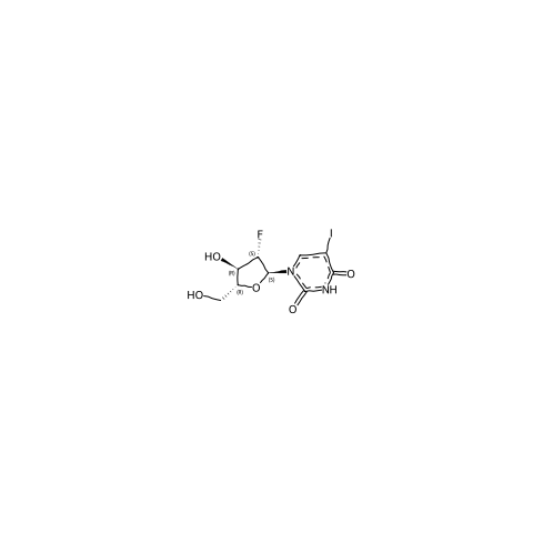 O=c1[nH]c(=O)n([C@H]2O[C@H](CO)[C@@H](O)[C@@H]2F)cc1I